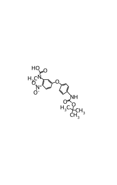 CN(C(=O)O)c1cc(Oc2ccc(NC(=O)OC(C)(C)C)cc2)ccc1[N+](=O)[O-]